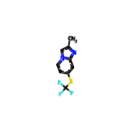 Cc1cn2ccc(SC(F)(F)F)cc2n1